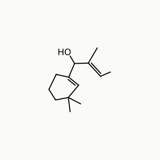 CC=C(C)C(O)C1=CC(C)(C)CCC1